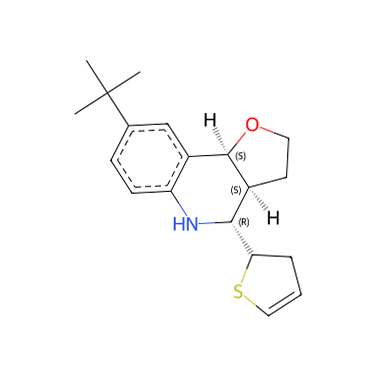 CC(C)(C)c1ccc2c(c1)[C@H]1OCC[C@H]1[C@H](C1CC=CS1)N2